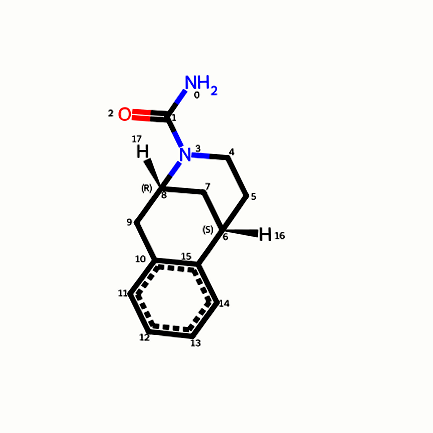 NC(=O)N1CC[C@H]2C[C@@H]1Cc1ccccc12